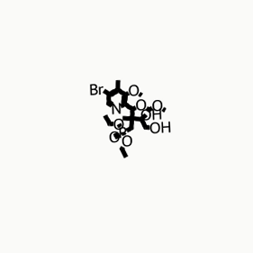 CCOP(=O)(CC(C)(C(O)CO)C(OCOC)c1ncc(Br)c(C)c1OC)OCC